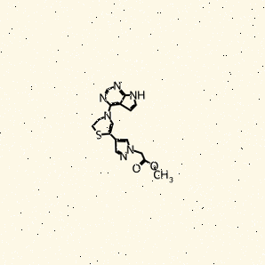 COC(=O)Cn1cc(C2=CN(c3ncnc4[nH]ccc34)CCS2)cn1